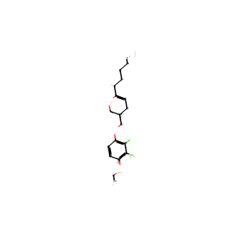 CCCCCC1=CCC(COc2ccc(OCC)c(F)c2F)CO1